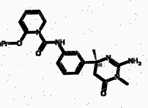 CCCOC1=CC=CCN1C(=O)Nc1cccc([C@]2(C)CC(=O)N(C)C(N)=N2)c1